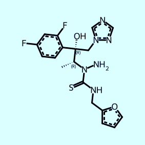 C[C@@H](N(N)C(=S)NCc1ccco1)[C@](O)(Cn1cncn1)c1ccc(F)cc1F